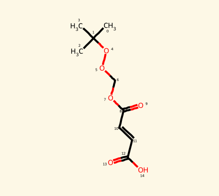 CC(C)(C)OOCOC(=O)C=CC(=O)O